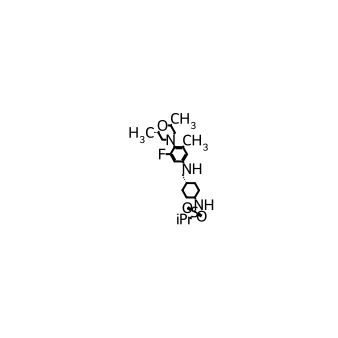 Cc1cc(NC[C@H]2CC[C@H](NS(=O)(=O)C(C)C)CC2)cc(F)c1N1C[C@@H](C)O[C@@H](C)C1